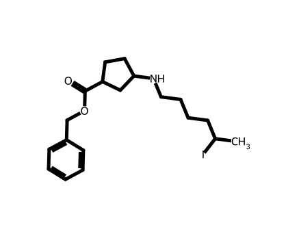 CC(I)CCCCNC1CCC(C(=O)OCc2ccccc2)C1